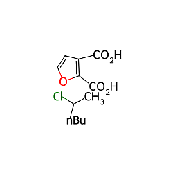 CCCCC(C)Cl.O=C(O)c1ccoc1C(=O)O